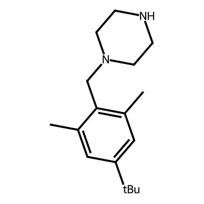 Cc1cc(C(C)(C)C)cc(C)c1CN1CCNCC1